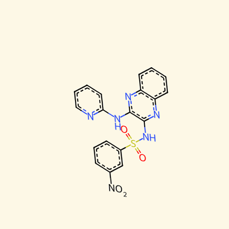 O=[N+]([O-])c1cccc(S(=O)(=O)Nc2nc3ccccc3nc2Nc2ccccn2)c1